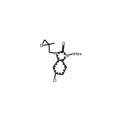 CCCCCCn1c(=O)n(CC2(C)CO2)c2cc(Cl)ccc21